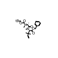 C=CC(C)(C)[C@@H](C(=O)OCc1ccccc1)N(C)C(=O)[C@@H](C)N(C)C(=O)OC(C)(C)C